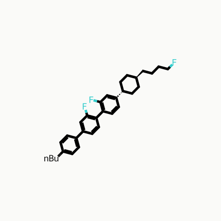 CCCCc1ccc(-c2ccc(-c3ccc([C@H]4CC[C@H](CCCCF)CC4)cc3F)c(F)c2)cc1